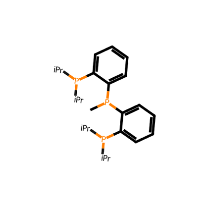 CC(C)P(c1ccccc1P(C)c1ccccc1P(C(C)C)C(C)C)C(C)C